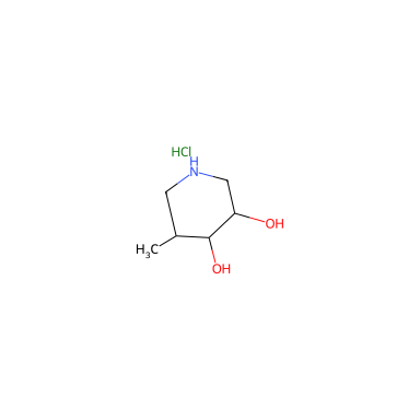 CC1CNCC(O)C1O.Cl